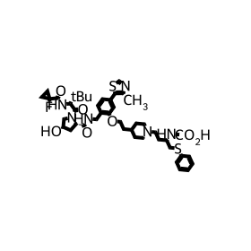 Cc1ncsc1-c1ccc(CNC(=O)[C@@H]2C[C@@H](O)CN2C(=O)C(NC(=O)C2(F)CC2)C(C)(C)C)c(OCCC2CCN(CCC(CSc3ccccc3)NC(=O)O)CC2)c1